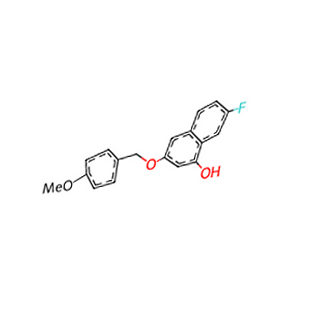 COc1ccc(COc2cc(O)c3cc(F)ccc3c2)cc1